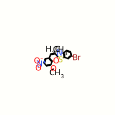 COc1cc([N+](=O)[O-])cc2c1OC1(Sc3cc(Br)ccc3N1C)C(C)=C2